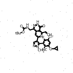 C=Cc1nc(-c2cnn(C)c2-c2c(F)c(Cl)cc(OC3CC3)c2C#N)cc2c(CNC(=O)OC(C)(C)C)n[nH]c(=O)c12